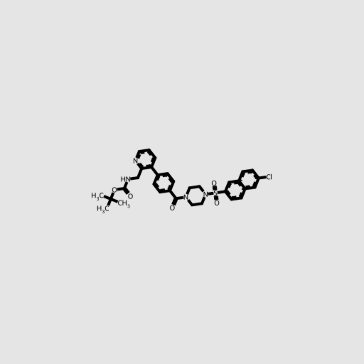 CC(C)(C)OC(=O)NCc1ncccc1-c1ccc(C(=O)N2CCN(S(=O)(=O)c3ccc4cc(Cl)ccc4c3)CC2)cc1